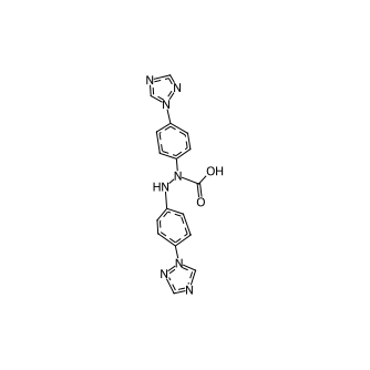 O=C(O)N(Nc1ccc(-n2cncn2)cc1)c1ccc(-n2cncn2)cc1